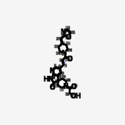 O=C(/C=C/c1cnc2c(c1)C1(CCN(C(=O)CO)CC1)C(=O)N2)N1CCC(=Cc2ncco2)CC1